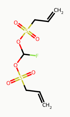 C=CCS(=O)(=O)OC(F)OS(=O)(=O)CC=C